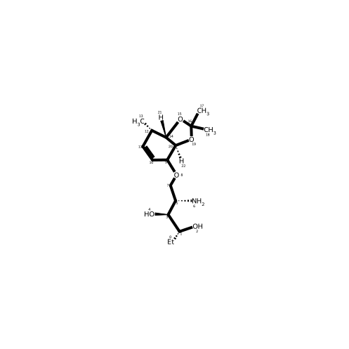 CC[C@@H](O)[C@@H](O)[C@@H](N)COC1C=C[C@H](C)[C@@H]2OC(C)(C)O[C@@H]12